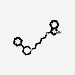 c1ccc(C2CCCN(CCCCCSc3c[nH]c4ccccc34)C2)cc1